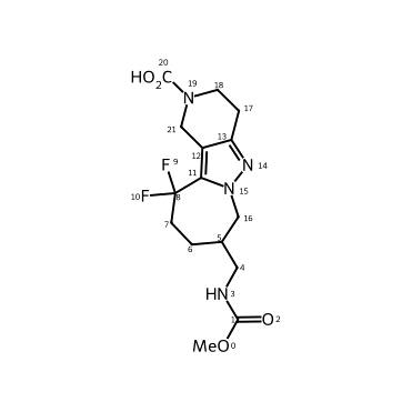 COC(=O)NCC1CCC(F)(F)c2c3c(nn2C1)CCN(C(=O)O)C3